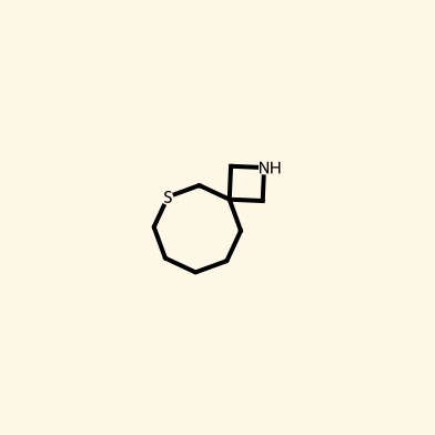 C1CCSCC2(CC1)CNC2